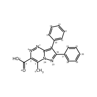 Cc1c(C(=O)O)nnc2c(-c3ccccc3)c(-c3ccccc3)nn12